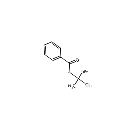 CCCC(C)(O)[CH]C(=O)c1ccccc1